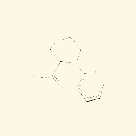 NC(=O)C1CC[C]CN1c1ccccn1